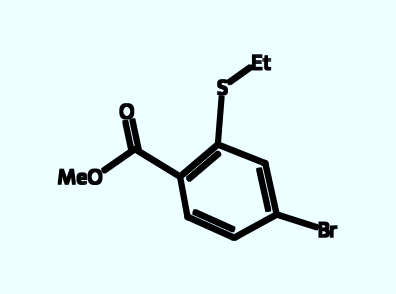 CCSc1cc(Br)ccc1C(=O)OC